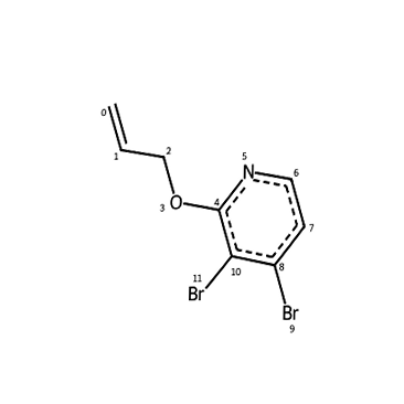 C=CCOc1nccc(Br)c1Br